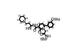 COc1cccc(-c2ccc(C(=O)NC(=N)CCN3CCCCC3)c(=O)n2CC(=O)NC(C)(C)C)c1